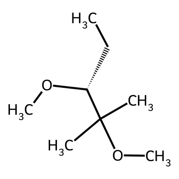 CC[C@@H](OC)C(C)(C)OC